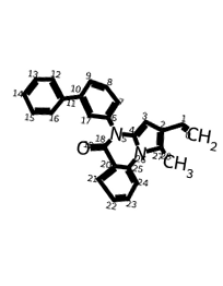 C=Cc1cc2n(-c3cccc(-c4ccccc4)c3)c(=O)c3ccccc3n2c1C